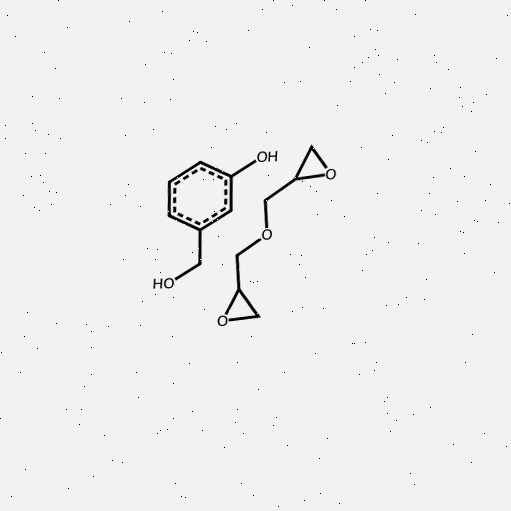 C(OCC1CO1)C1CO1.OCc1cccc(O)c1